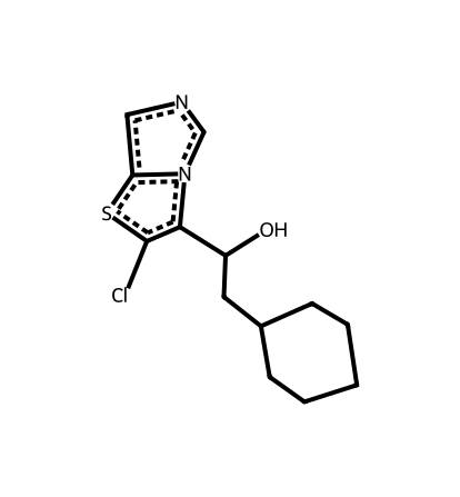 OC(CC1CCCCC1)c1c(Cl)sc2cncn12